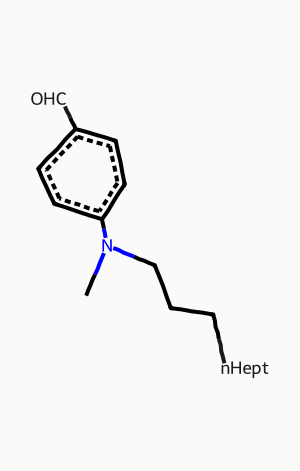 CCCCCCCCCCN(C)c1ccc(C=O)cc1